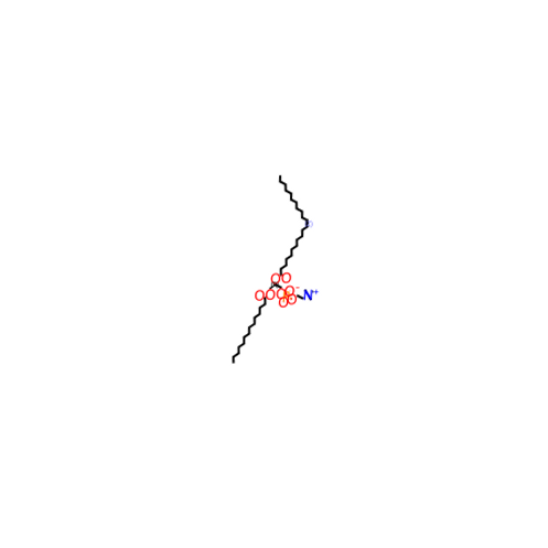 CCCCCCCCCC/C=C\CCCCCCCCCC(=O)O[C@H](COC(=O)CCCCCCCCCCCCC)COP(=O)([O-])OCC[N+](C)(C)C